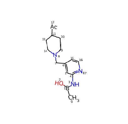 CB(O)Nc1cc(CN2CCC(C(C)=O)CC2)ccn1